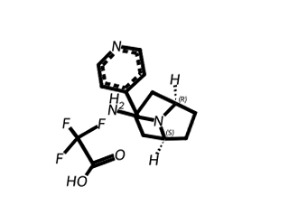 NC1C[C@H]2CC[C@@H](C1)N2Cc1ccncc1.O=C(O)C(F)(F)F